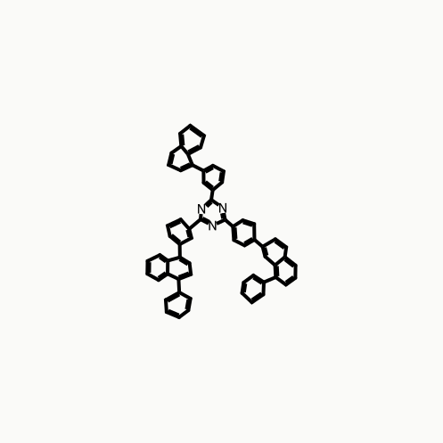 c1ccc(-c2cccc3ccc(-c4ccc(-c5nc(-c6cccc(-c7cccc8ccccc78)c6)nc(-c6cccc(-c7ccc(-c8ccccc8)c8ccccc78)c6)n5)cc4)cc23)cc1